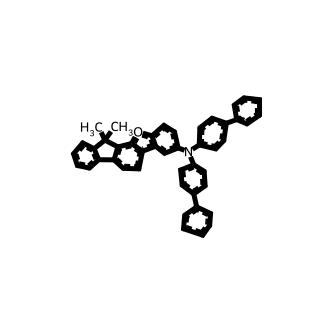 CC1(C)c2ccccc2-c2ccc3c(oc4ccc(N(c5ccc(-c6ccccc6)cc5)c5ccc(-c6ccccc6)cc5)cc43)c21